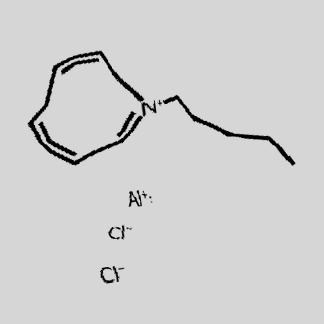 CCCC[n+]1ccccc1.[Al+].[Cl-].[Cl-]